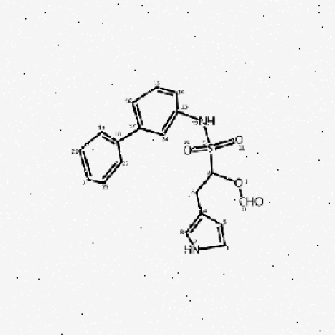 O=COC(Cc1cc[nH]c1)S(=O)(=O)Nc1cccc(-c2ccccc2)c1